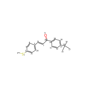 CSc1ccc(C=CC(=O)c2ccc(C(C)(C)C)cc2)cc1